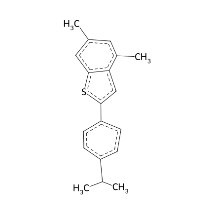 Cc1cc(C)c2cc(-c3ccc(C(C)C)cc3)sc2c1